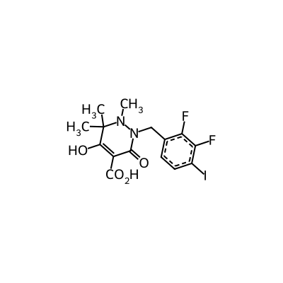 CN1N(Cc2ccc(I)c(F)c2F)C(=O)C(C(=O)O)=C(O)C1(C)C